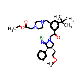 CCOC(=O)CN1CCN(Cc2cc(C(=O)CN3C[C@H](CCOC)[C@@H](c4ccccc4)/C3=N/Br)cc(C(C)(C)C)c2)CC1